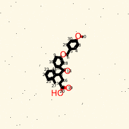 COc1ccc(COc2cccc(C(=O)C(CCC(=O)O)c3ccccc3C)c2)cc1